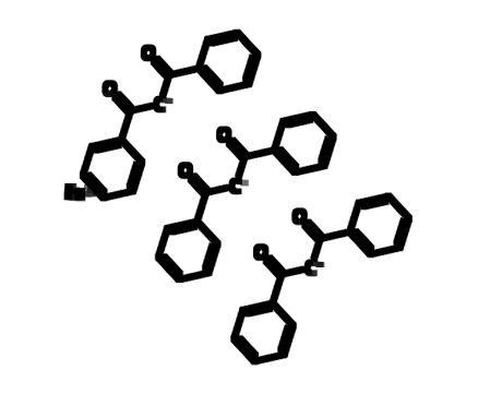 O=C([CH-]C(=O)c1ccccc1)c1ccccc1.O=C([CH-]C(=O)c1ccccc1)c1ccccc1.O=C([CH-]C(=O)c1ccccc1)c1ccccc1.[Eu+3]